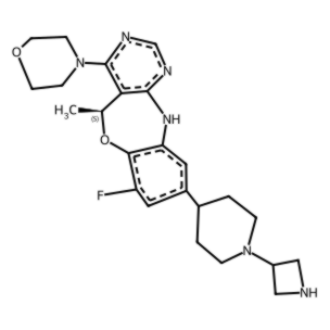 C[C@@H]1Oc2c(F)cc(C3CCN(C4CNC4)CC3)cc2Nc2ncnc(N3CCOCC3)c21